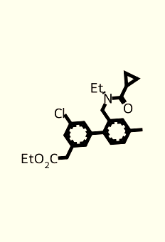 CCOC(=O)Cc1cc(Cl)cc(-c2ccc(C)cc2CN(CC)C(=O)C2CC2)c1